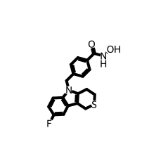 O=C(NO)c1ccc(Cn2c3c(c4cc(F)ccc42)CSCC3)cc1